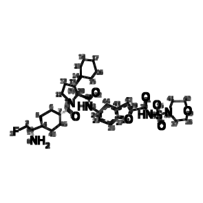 N[C@H](CF)[C@H]1CC[C@H](C(=O)N2CC[C@@H](C3CCCCC3)[C@H]2C(=O)Nc2ccc3oc(C(=O)NS(=O)(=O)N4CCOCC4)cc3c2)CC1